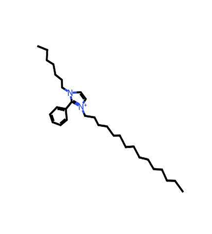 CCCCCCCCCCCCCCC[n+]1ccn(CCCCCCC)c1-c1ccccc1